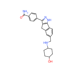 NC(=O)c1ccc(-c2n[nH]c3c2Cc2cc(CNC4CCC(O)CC4)ccc2-3)cc1